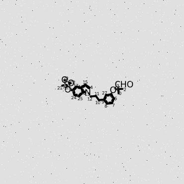 CC(C)(C=O)Oc1cccc(CCCn2ccc3cc(OS(C)(=O)=O)ccc32)c1